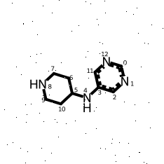 c1ncc(NC2CCNCC2)cn1